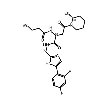 CC[C@H]1CCCCN1C(=O)C[C@H](NC(=O)CCC(C)C)C(=O)N[C@@H](C)c1ncc(-c2ccc(F)cc2F)[nH]1